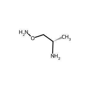 C[C@H](N)CON